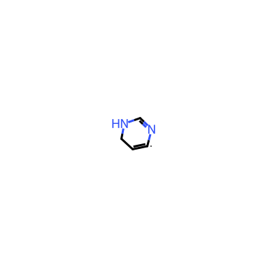 [C]1=CCNC=N1